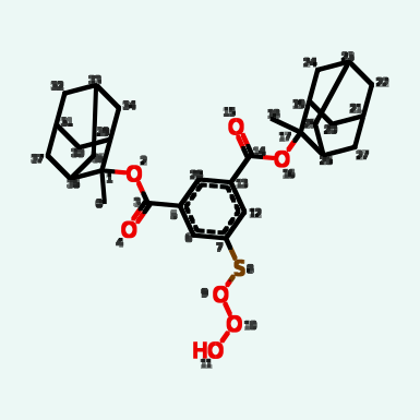 CC1(OC(=O)c2cc(SOOO)cc(C(=O)OC3(C)C4CC5CC(C4)CC3C5)c2)C2CC3CC(C2)CC1C3